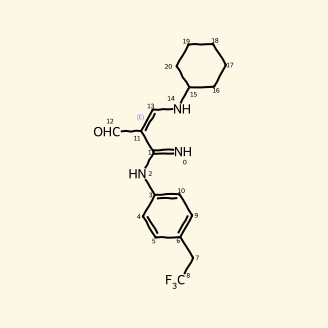 N=C(Nc1ccc(CC(F)(F)F)cc1)/C(C=O)=C\NC1CCCCC1